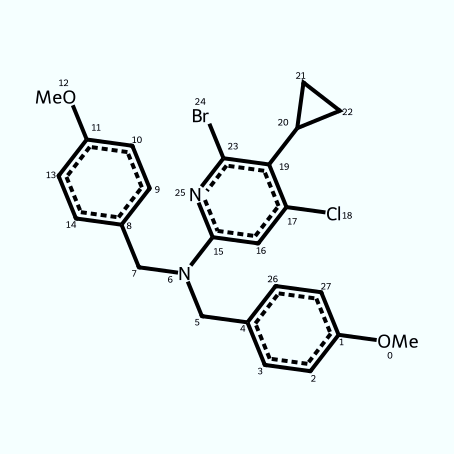 COc1ccc(CN(Cc2ccc(OC)cc2)c2cc(Cl)c(C3CC3)c(Br)n2)cc1